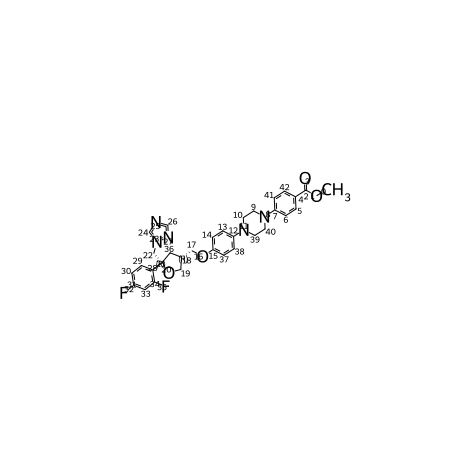 COC(=O)c1ccc(N2CCN(c3ccc(OC[C@@H]4CO[C@@](Cn5cncn5)(c5ccc(F)cc5F)C4)cc3)CC2)cc1